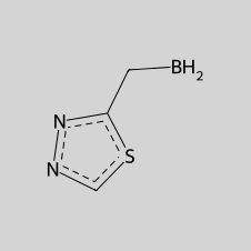 BCc1nncs1